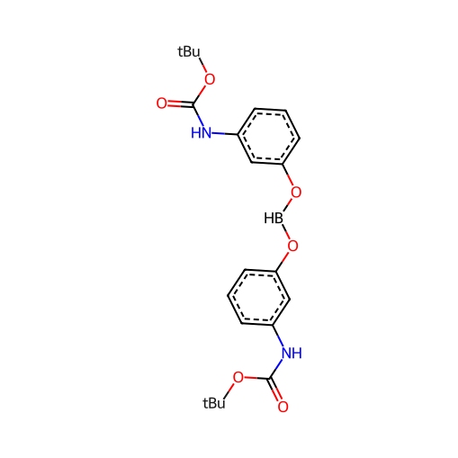 CC(C)(C)OC(=O)Nc1cccc(OBOc2cccc(NC(=O)OC(C)(C)C)c2)c1